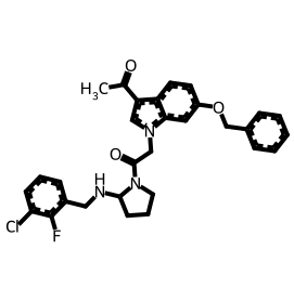 CC(=O)c1cn(CC(=O)N2CCCC2NCc2cccc(Cl)c2F)c2cc(OCc3ccccc3)ccc12